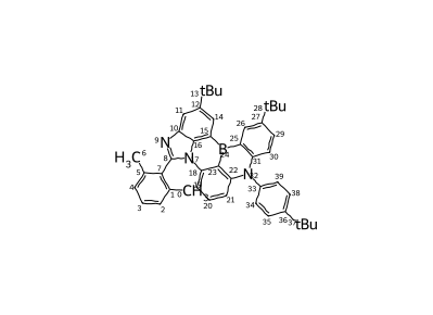 Cc1cccc(C)c1-c1nc2cc(C(C)(C)C)cc3c2n1-c1cccc2c1B3c1cc(C(C)(C)C)ccc1N2c1ccc(C(C)(C)C)cc1